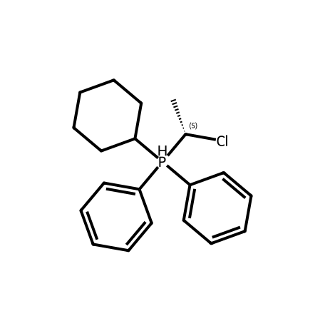 C[C@H](Cl)[PH](c1ccccc1)(c1ccccc1)C1CCCCC1